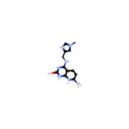 Cn1cnc(CNc2nc(=O)[nH]c3nc(C(F)(F)F)ccc23)c1